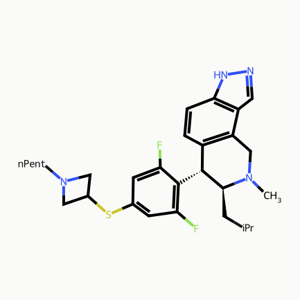 CCCCCN1CC(Sc2cc(F)c([C@@H]3c4ccc5[nH]ncc5c4CN(C)[C@H]3CC(C)C)c(F)c2)C1